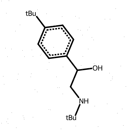 CC(C)(C)NCC(O)c1ccc(C(C)(C)C)cc1